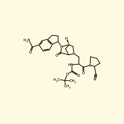 CC(C)(C)OC(=O)NC(CN1C[C@@H]2CC1C(=O)N2C1CCc2cc(C(N)=O)ccc21)C(=O)N1CCCC1C#N